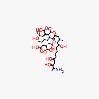 CCCC[C@H]1C([C@@H](CC(=O)O)C(=O)O)C(=O)O[C@@H](C[C@@H](C)C[C@H](O)CCCC[C@@H](O)C[C@H](O)[C@H](C)N)[C@@H]1OC(=O)C[C@@H](CC(=O)O)C(=O)O